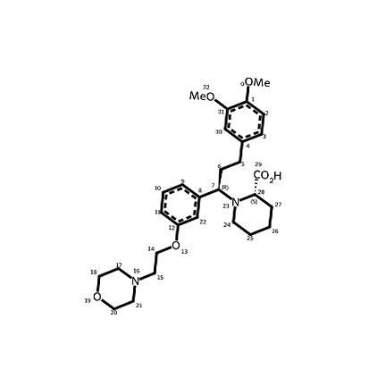 COc1ccc(CC[C@H](c2cccc(OCCN3CCOCC3)c2)N2CCCC[C@H]2C(=O)O)cc1OC